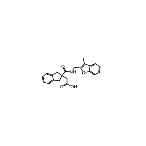 Cc1c(CNC(=O)C2(CC(=O)O)Cc3ccccc3C2)oc2ccccc12